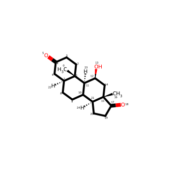 C[C@]12CCC(=O)C[C@@H]1CCC1[C@@H]2[C@@H](O)C[C@]2(C)C(=O)CC[C@@H]12